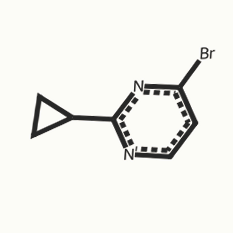 Brc1ccnc(C2CC2)n1